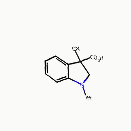 CC(C)N1CC(C#N)(C(=O)O)c2ccccc21